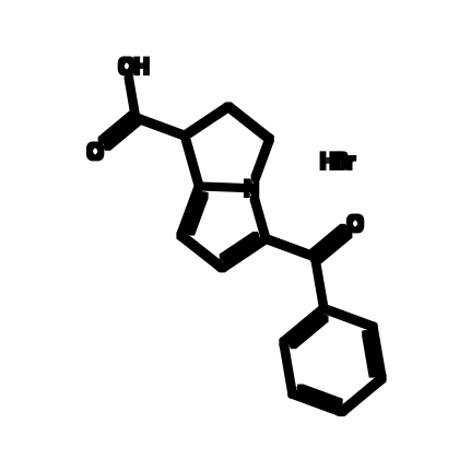 Br.O=C(c1ccccc1)c1ccc2n1CCC2C(=O)O